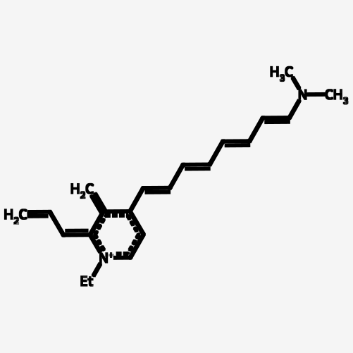 C=C/C=c1\c(=C)c(C=CC=C/C=C/C=C/N(C)C)cc[n+]1CC